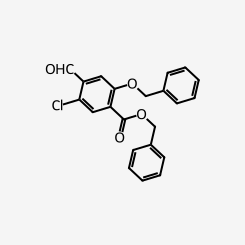 O=Cc1cc(OCc2ccccc2)c(C(=O)OCc2ccccc2)cc1Cl